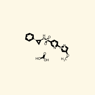 COc1cnn(-c2ccc(S(=O)(=O)N[C@H]3C[C@@H]3c3ccccc3)cn2)c1.O=C(O)O